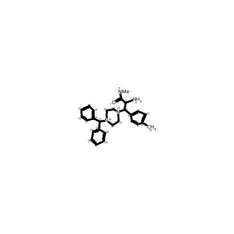 CNC(=O)C(N)C(c1ccc(C)cc1)N1CCN(C(c2ccccc2)c2ccccc2)CC1